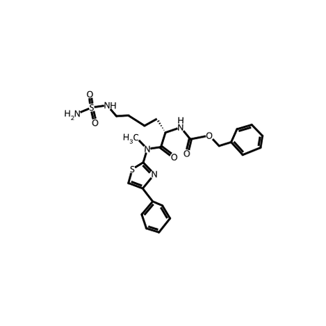 CN(C(=O)[C@H](CCCCNS(N)(=O)=O)NC(=O)OCc1ccccc1)c1nc(-c2ccccc2)cs1